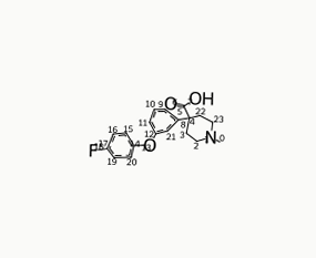 CN1CCC(C(=O)O)(c2cccc(Oc3ccc(F)cc3)c2)CC1